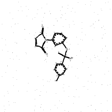 CCCC(C)(Oc1cccc(N2C(=O)C=CC2=O)c1)c1ccc(C)cc1